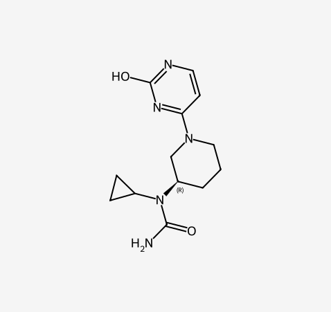 NC(=O)N(C1CC1)[C@@H]1CCCN(c2ccnc(O)n2)C1